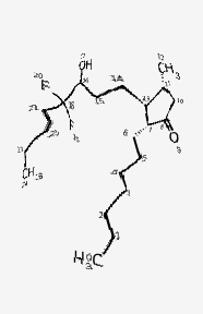 CCCCCCC[C@H]1C(=O)C[C@@H](C)[C@@H]1CCC(O)C(F)(F)CCCC